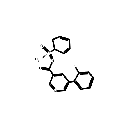 C[S@@](=O)(=NC(=O)c1cncc(-c2ccccc2F)c1)C1C=CC=CC1